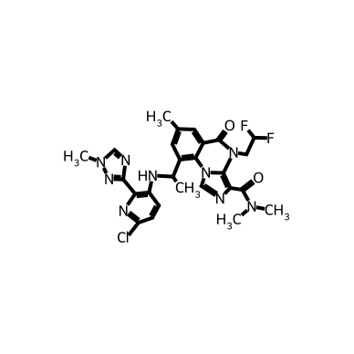 Cc1cc(C(C)Nc2ccc(Cl)nc2-c2ncn(C)n2)c2c(c1)c(=O)n(CC(F)F)c1c(C(=O)N(C)C)ncn21